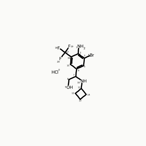 Cl.Nc1c(Br)cc(C(CO)NC2CCC2)cc1C(F)(F)F